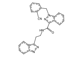 N#Cc1ccccc1Cn1nc(C(=O)NCCc2nnc3ccccn23)c2ccccc21